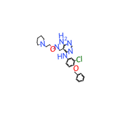 Nc1ncnc(Nc2ccc(OCc3ccccc3)c(Cl)c2)c1/C=N/OCCN1CCCCC1